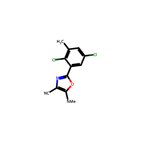 CNc1oc(-c2cc(Cl)cc(C)c2Cl)nc1C#N